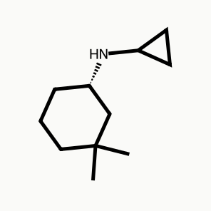 CC1(C)CCC[C@H](NC2CC2)C1